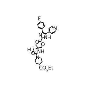 CCOC(=O)C1CCN(C(=O)NC2(C)COC(c3nc(-c4ccc(F)cc4)c(-c4ccncc4)[nH]3)OC2)CC1